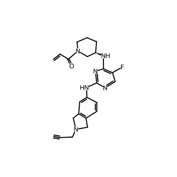 C#CCN1Cc2ccc(Nc3ncc(F)c(N[C@@H]4CCCN(C(=O)C=C)C4)n3)cc2C1